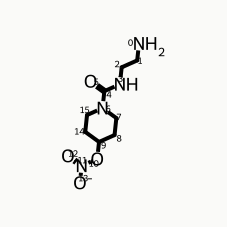 NCCNC(=O)N1CCC(O[N+](=O)[O-])CC1